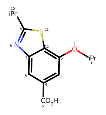 CC(C)Oc1cc(C(=O)O)cc2nc(C(C)C)sc12